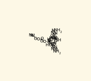 [N-]=[N+]=NCCOc1ccc(C(=O)Oc2ccc(CS[P@]3(=O)OC[C@H]4O[C@@H](n5cnc6c(N)ncnc65)[C@H](O[P@](=O)(S)OC[C@H]5O[C@@H](n6cnc7c(N)ncnc76)[C@H](O)[C@@H]5O3)[C@@H]4O)cc2)cc1